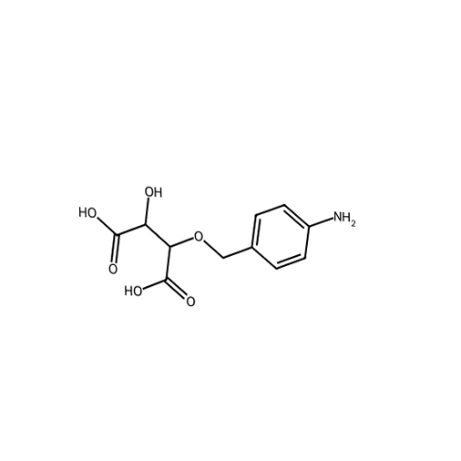 Nc1ccc(COC(C(=O)O)C(O)C(=O)O)cc1